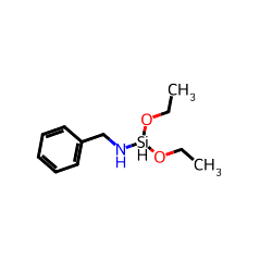 CCO[SiH](NCc1ccccc1)OCC